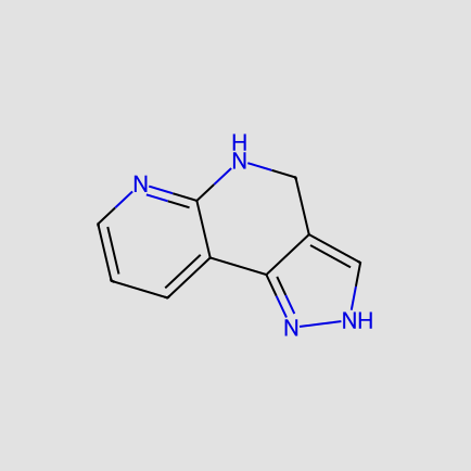 c1cnc2c(c1)-c1n[nH]cc1CN2